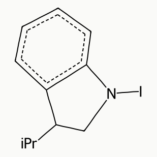 CC(C)C1CN(I)c2ccccc21